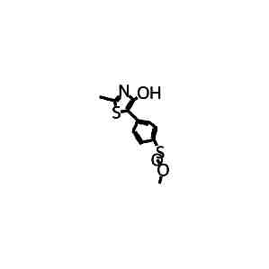 COOSc1ccc(-c2sc(C)nc2O)cc1